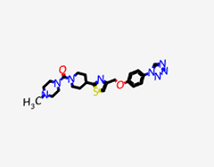 CN1CCN(C(=O)N2CCC(c3nc(COc4ccc(-n5cnnn5)cc4)cs3)CC2)CC1